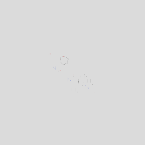 CC(C)(C=C(C#N)C(=O)N1CCCC[C@H](OC(=O)N[C@H](CB(O)O)c2ccccc2)C1)N1CCOCC1